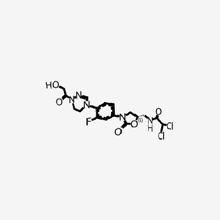 O=C(NC[C@H]1CN(c2ccc(N3C=NN(C(=O)CO)CC3)c(F)c2)C(=O)O1)C(Cl)Cl